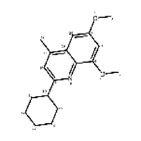 COc1cc(OC)c2nc(C3CCCCC3)cc(C)c2c1